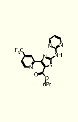 CCCOC(=O)c1sc(Nc2ncccn2)nc1-c1cc(C(F)(F)F)ccn1